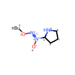 CCCCO/N=[N+](\[O-])[C]1CCCN1